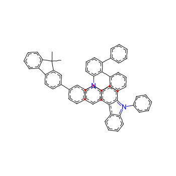 CC1(C)c2ccccc2-c2ccc(-c3cccc(N(c4ccc5c(c4)c4ccccc4n5-c4ccccc4)c4cccc(-c5ccccc5)c4-c4ccccc4-c4ccccc4)c3)cc21